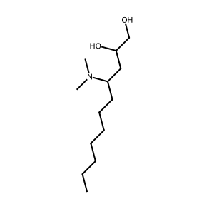 CCCCCCCC(CC(O)CO)N(C)C